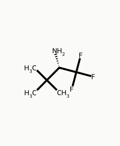 CC(C)(C)[C@H](N)C(F)(F)F